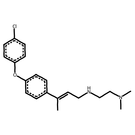 CC(=CCNCCN(C)C)c1ccc(Oc2ccc(Cl)cc2)cc1